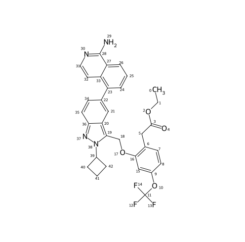 CCOC(=O)Cc1ccc(OC(F)(F)F)cc1OCc1c2cc(-c3cccc4c(N)nccc34)ccc2nn1C1CCC1